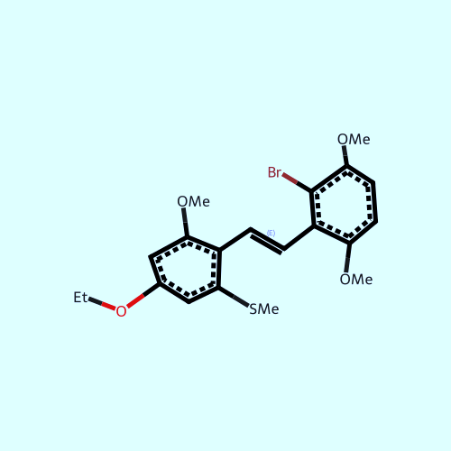 CCOc1cc(OC)c(/C=C/c2c(OC)ccc(OC)c2Br)c(SC)c1